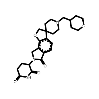 O=C1CCC(N2Cc3c(ccc4c3OCC43CCN(CC4CCOCC4)CC3)C2=O)C(=O)N1